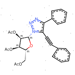 CC(=O)OC[C@H]1O[C@@H](n2nnc(-c3ccccc3)c2C#Cc2ccccc2)[C@H](OC(C)=O)[C@@H]1OC(C)=O